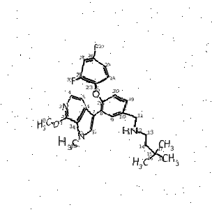 COc1nccc2c(-c3cc(CNCCC(C)(C)C)ccc3Oc3ccc(F)cc3F)cn(C)c12